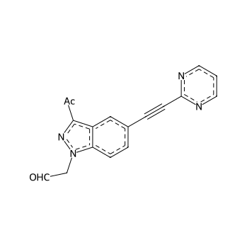 CC(=O)c1nn(CC=O)c2ccc(C#Cc3ncccn3)cc12